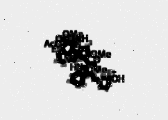 CCC1(O)CCCN(CCc2c([C@@H](C(=O)OC)c3cc4c(cc3OC)N(C)[C@H]3[C@@](O)(C(=O)OC)[C@H](OC(C)=O)[C@]5(CC)C=CCN6CC[C@]43[C@@H]65)[nH]c3ccccc23)C1